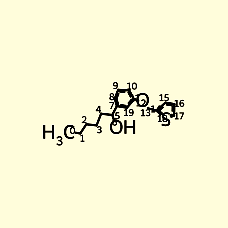 CCCCCC(O)c1cccc(OCc2cccs2)c1